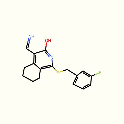 N=Cc1c(O)nc(SCc2cccc(F)c2)c2c1CCCC2